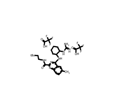 Cc1ccc2nc(C(=O)NCCC(C)(C)C)nc(NC3CCCCC3NC(=N)N)c2c1.O=C(O)C(F)(F)F.O=C(O)C(F)(F)F